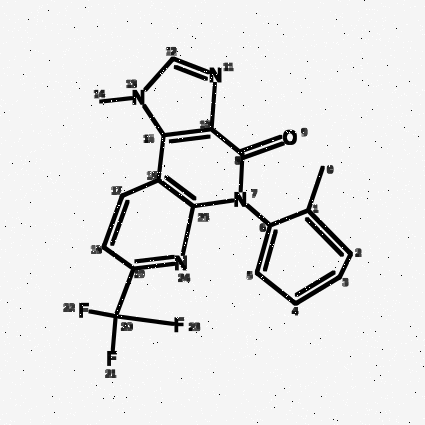 Cc1ccccc1-n1c(=O)c2ncn(C)c2c2ccc(C(F)(F)F)nc21